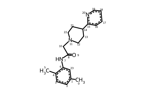 Cc1ccc(C)c(NC(=O)CN2CCC(c3ccccn3)CC2)c1